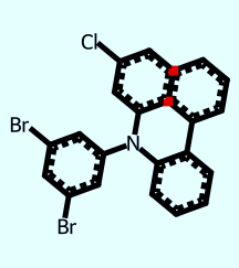 Clc1cccc(N(c2cc(Br)cc(Br)c2)c2ccccc2-c2ccccc2)c1